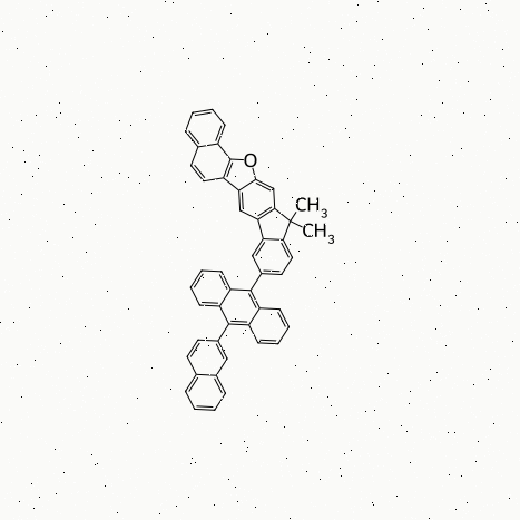 CC1(C)c2ccc(-c3c4ccccc4c(-c4ccc5ccccc5c4)c4ccccc34)cc2-c2cc3c(cc21)oc1c2ccccc2ccc31